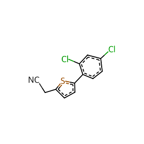 N#CCc1ccc(-c2ccc(Cl)cc2Cl)s1